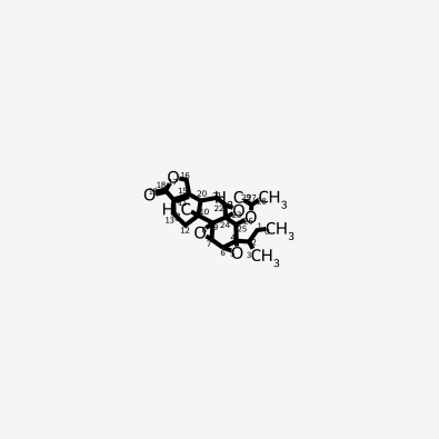 CCC(C)C12OC1C1OC13C1(C)CCC4=C(COC4=O)C1CC1OC13C2OC(C)C